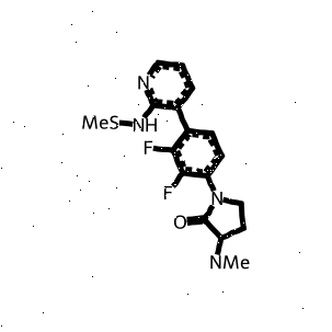 CNC1CCN(c2ccc(-c3cccnc3NSC)c(F)c2F)C1=O